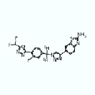 [2H]C([2H])(c1ccc(-c2nnc(C(F)F)o2)c(F)c1)n1cc(-c2ccc3nc(N)sc3c2)nn1